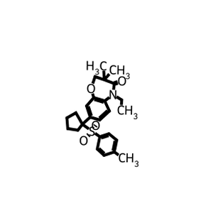 CCN1C(=O)C(C)(C)COc2cc(C3(S(=O)(=O)c4ccc(C)cc4)CCCC3)ccc21